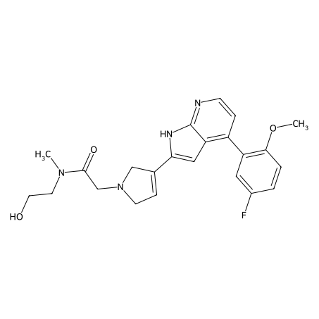 COc1ccc(F)cc1-c1ccnc2[nH]c(C3=CCN(CC(=O)N(C)CCO)C3)cc12